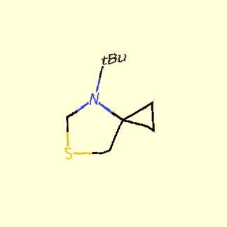 CC(C)(C)N1CSCC12CC2